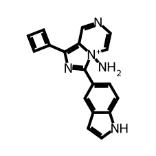 N[N+]12C=CN=CC1=C(C1=CC=C1)N=C2c1ccc2[nH]ccc2c1